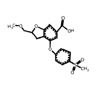 COCC1Cc2c(Oc3ccc(S(C)(=O)=O)cc3)cc(C(=O)O)cc2O1